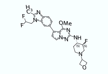 COc1nc(N[C@H]2CCN(C3COC3)C[C@@H]2F)nn2ccc(-c3ccc4nc(C)n(CC(F)F)c4c3)c12